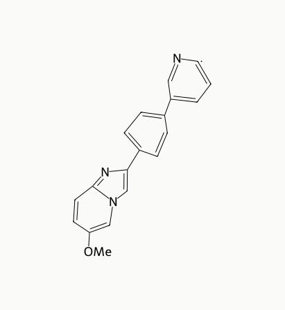 COc1ccc2nc(-c3ccc(-c4cc[c]nc4)cc3)cn2c1